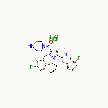 Cc1c(F)cccc1Cc1nccc2c(C(=O)N3CCNCC3)c(Cc3cccc(F)c3C)n(-c3ccccc3)c12.Cl.Cl